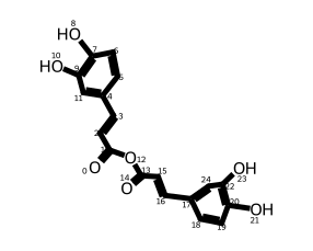 O=C(C=Cc1ccc(O)c(O)c1)OC(=O)C=Cc1ccc(O)c(O)c1